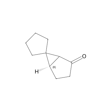 O=C1CC[C@@H]2C1C21CCCC1